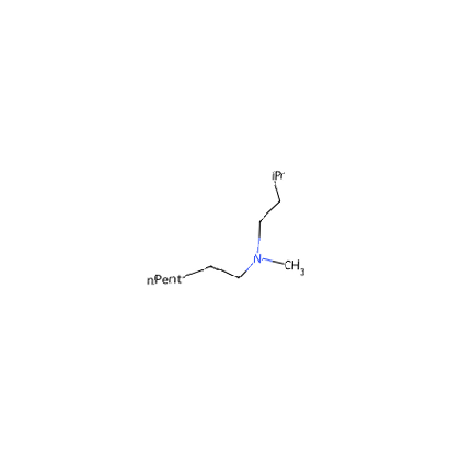 CCCCCCCN(C)CCC(C)C